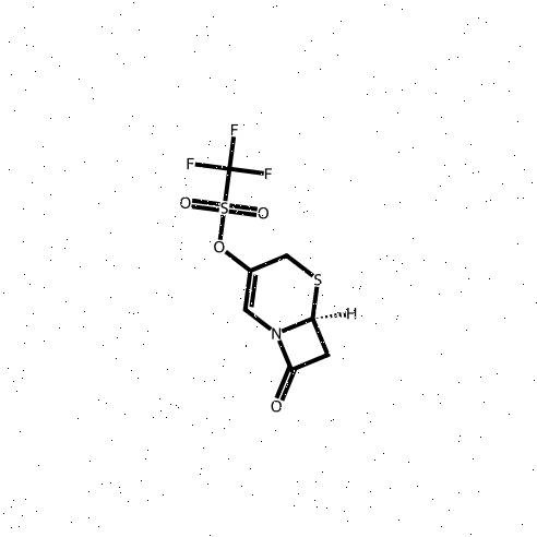 O=C1C[C@@H]2SCC(OS(=O)(=O)C(F)(F)F)=CN12